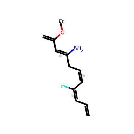 C=C/C=C(F)\C=C/C/C(N)=C/C(=C)OCC